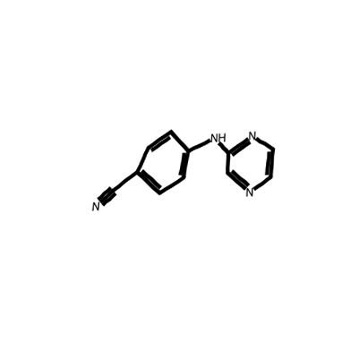 N#Cc1ccc(Nc2cnccn2)cc1